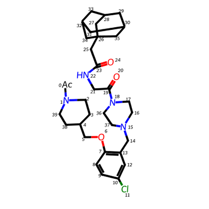 CC(=O)N1CCC(COc2ccc(Cl)cc2CN2CCN(C(=O)CNC(=O)CC34CC5CC(CC(C5)C3)C4)CC2)CC1